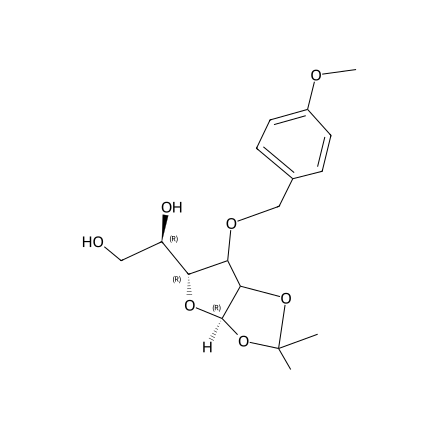 COc1ccc(COC2C3OC(C)(C)O[C@H]3O[C@@H]2[C@H](O)CO)cc1